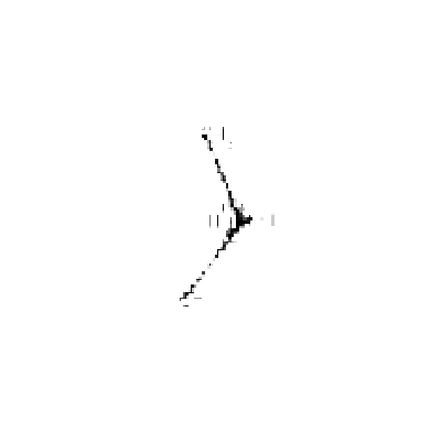 CCCCCCCCCCCCCCCCCC(=O)OCC[N+](C)(CCO)CCOC(=O)CCCCCCCCCCCCCCCCC